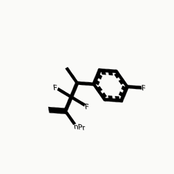 C=C(CCC)C(F)(F)C(C)c1ccc(F)cc1